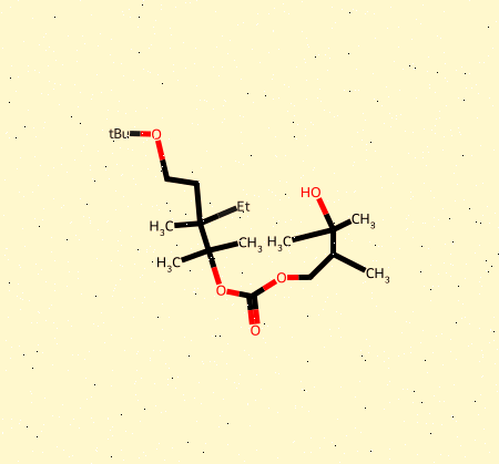 CCC(C)(CCOC(C)(C)C)C(C)(C)OC(=O)OCC(C)C(C)(C)O